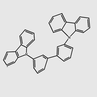 C1=Cc2c(n(-c3cccc(-c4cccc(-n5c6ccccc6c6ccccc65)c4)c3)c3ccccc23)C=I1